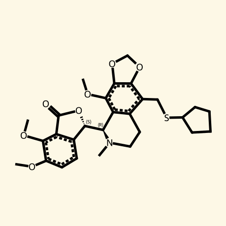 COc1ccc2c(c1OC)C(=O)O[C@@H]2[C@H]1c2c(c(CSC3CCCC3)c3c(c2OC)OCO3)CCN1C